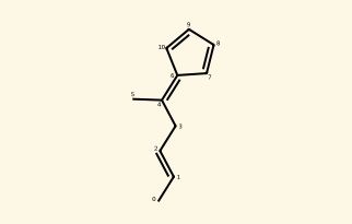 CC=CCC(C)=C1C=CC=C1